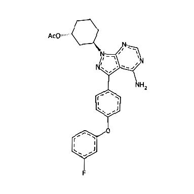 CC(=O)O[C@@H]1CCC[C@@H](n2nc(-c3ccc(Oc4cccc(F)c4)cc3)c3c(N)ncnc32)C1